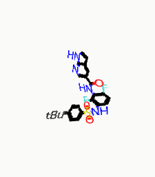 CC(C)(C)c1ccc(S(=O)(=O)Nc2ccc(F)c(NC(=O)c3cnc4[nH]ccc4c3)c2F)cc1